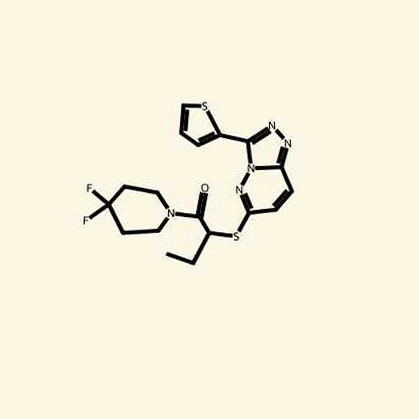 CCC(Sc1ccc2nnc(-c3cccs3)n2n1)C(=O)N1CCC(F)(F)CC1